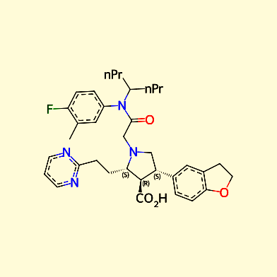 CCCC(CCC)N(C(=O)CN1C[C@H](c2ccc3c(c2)CCO3)[C@@H](C(=O)O)[C@@H]1CCc1ncccn1)c1ccc(F)c(C)c1